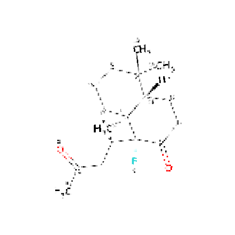 CC(=O)CC[C@]1(F)C(=O)CC[C@H]2C(C)(C)CCC[C@@]21C